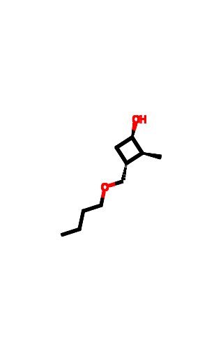 CCCCOC[C@@H]1C[C@@H](O)[C@H]1C